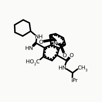 CC(C)C(C)NC(=O)c1cc(C(=O)O)c(C(=N)NC2CCCCC2)c2c3ccc(c(=O)[nH]c3=O)c12